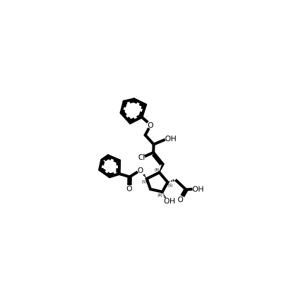 O=C(O)C[C@H]1[C@H](C=C(Cl)C(O)COc2ccccc2)[C@@H](OC(=O)c2ccccc2)C[C@H]1O